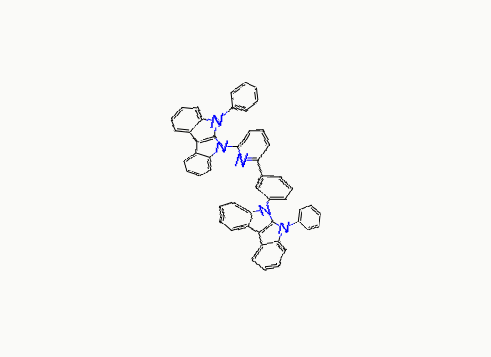 c1ccc(-n2c3ccccc3c3c4ccccc4n(-c4cccc(-c5cccc(-n6c7ccccc7c7c8ccccc8n(-c8ccccc8)c76)n5)c4)c32)cc1